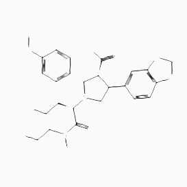 CCC[C@H](C(=O)N(C)CCC)N1CC(c2ccc3c(c2)OCO3)[C@H](C(=O)O)[C@H]1c1ccc(OC)cc1